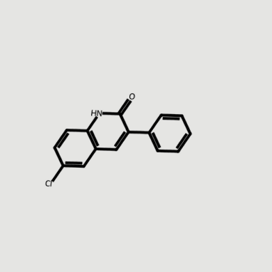 O=c1[nH]c2ccc(Cl)cc2cc1-c1ccccc1